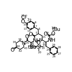 CC(C)[C@H](NC(=O)C(Cc1ccc(OC(F)(F)F)cc1)CC(O[Si](C)(C)C(C)(C)C)C(Cc1ccccc1)NC(=O)OC(C)(C)C)C(=O)N1CCC(=O)CC1